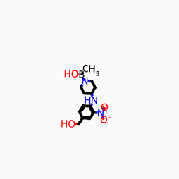 CB(O)N1CCC(Nc2ccc(CO)cc2[N+](=O)[O-])CC1